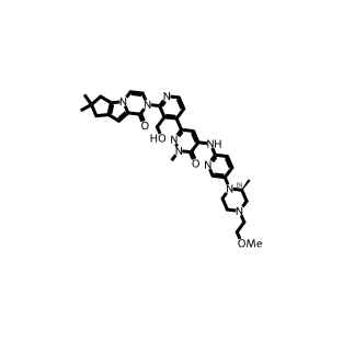 COCCN1CCN(c2ccc(Nc3cc(-c4ccnc(-n5ccn6c7c(cc6c5=O)CC(C)(C)C7)c4CO)nn(C)c3=O)nc2)[C@@H](C)C1